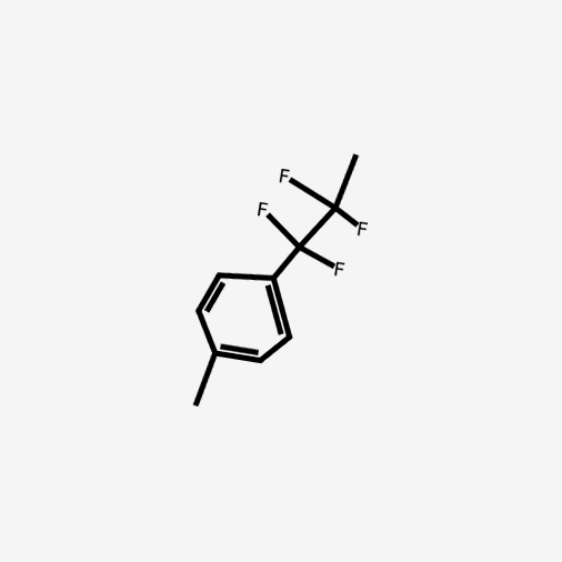 Cc1ccc(C(F)(F)C(C)(F)F)cc1